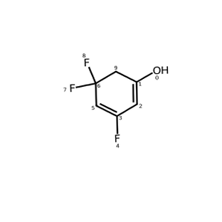 OC1=CC(F)=CC(F)(F)C1